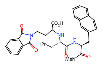 CNC(=O)[C@H](Cc1ccc2ccccc2c1)NC(=O)[C@H](CC(C)C)NC(CCN1C(=O)c2ccccc2C1=O)C(=O)O